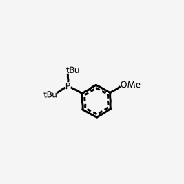 COc1cccc(P(C(C)(C)C)C(C)(C)C)c1